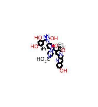 CCC1(CC)OC(=O)[C@@H]([N+]2(c3ccc(-n4c(O)nnc4-c4cc(C(C)C)c(O)cc4O)cn3)CCN(C(=O)O)CC2)c2cc3n(c(=O)c21)Cc1cc2cc(O)ccc2nc1-3